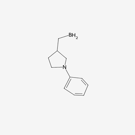 BCC1CCN(c2ccccc2)C1